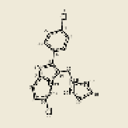 Clc1ccc(-c2nc3ccc(Cl)cn3c2Cn2nccn2)cc1